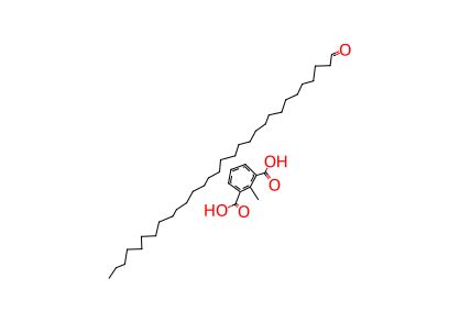 CCCCCCCCCCCCCCCCCCCCCCCCCCCCCC=O.Cc1c(C(=O)O)cccc1C(=O)O